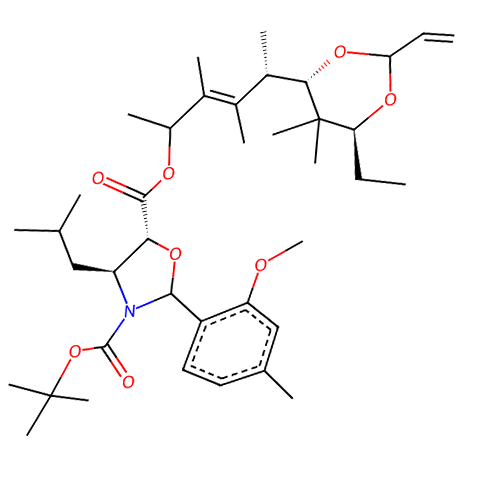 C=CC1O[C@@H](CC)C(C)(C)[C@H]([C@@H](C)/C(C)=C(\C)C(C)OC(=O)[C@@H]2OC(c3ccc(C)cc3OC)N(C(=O)OC(C)(C)C)[C@H]2CC(C)C)O1